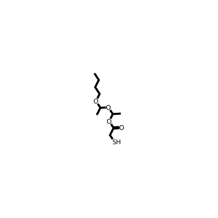 CCCCOC(C)OC(C)OC(=O)CS